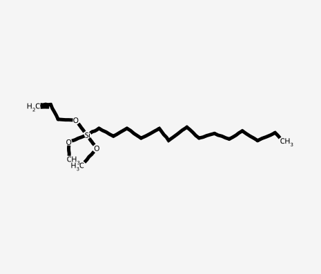 C=CCO[Si](CCCCCCCCCCCCCC)(OC)OC